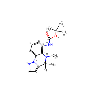 [2H]C1([2H])c2ccnn2-c2cccc(NC(=O)OC(C)(C)C)c2N1C